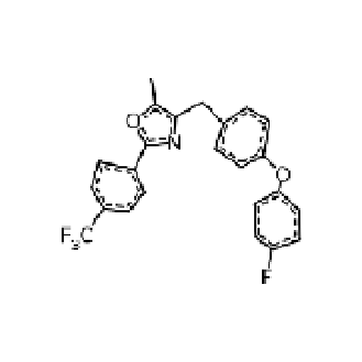 Cc1oc(-c2ccc(C(F)(F)F)cc2)nc1Cc1ccc(Oc2ccc(F)cc2)cc1